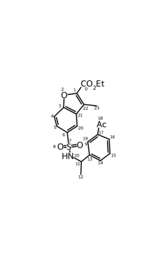 CCOC(=O)c1oc2ccc(S(=O)(=O)NC(C)c3cccc(C(C)=O)c3)cc2c1C